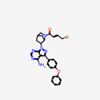 Nc1ncnc2c1c(-c1ccc(Oc3ccccc3)cc1)nn2C1CC2CC1N(C(=O)/C=C/CBr)C2